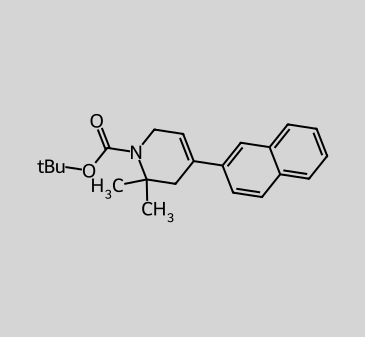 CC(C)(C)OC(=O)N1CC=C(c2ccc3ccccc3c2)CC1(C)C